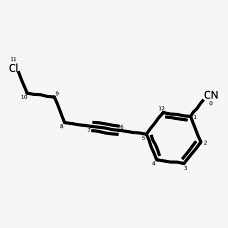 N#Cc1cccc(C#CCCCCl)c1